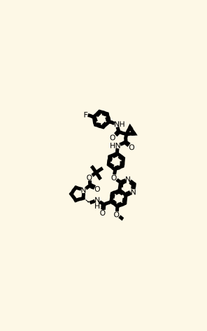 COc1cc2ncnc(Oc3ccc(NC(=O)C4(C(=O)Nc5ccc(F)cc5)CC4)cc3)c2cc1C(=O)NC[C@@H]1CCCN1C(=O)OC(C)(C)C